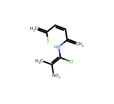 C=C(F)/C=C\C(=C)N/C(Cl)=C(\C)[N+](=O)[O-]